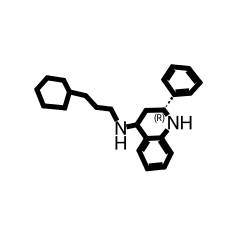 c1ccc([C@H]2CC(NCCCC3CCCCC3)c3ccccc3N2)cc1